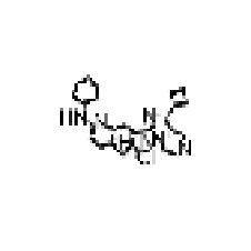 N[N+]12C=CN=CC1=C(C1=CC=C1)N=C2c1cc2nc(Nc3ccccc3)ccc2cc1Cl